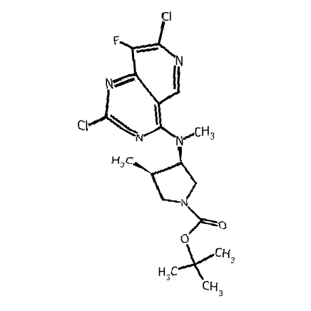 C[C@@H]1CN(C(=O)OC(C)(C)C)C[C@@H]1N(C)c1nc(Cl)nc2c(F)c(Cl)ncc12